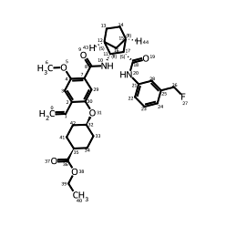 C=Cc1cc(OC)c(C(=O)N[C@@H]2[C@H]3CC[C@H](C3)[C@@H]2C(=O)Nc2cccc(CF)c2)cc1O[C@H]1CC[C@@H](C(=O)OCC)CC1